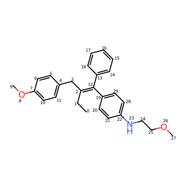 CCC(Cc1ccc(OC)cc1)=C(c1ccccc1)c1ccc(NCCOC)cc1